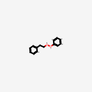 c1ccc(CCOOc2ccccc2)cc1